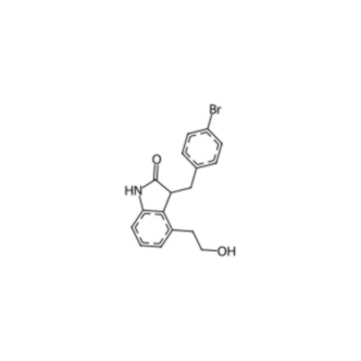 O=C1Nc2cccc(CCO)c2C1Cc1ccc(Br)cc1